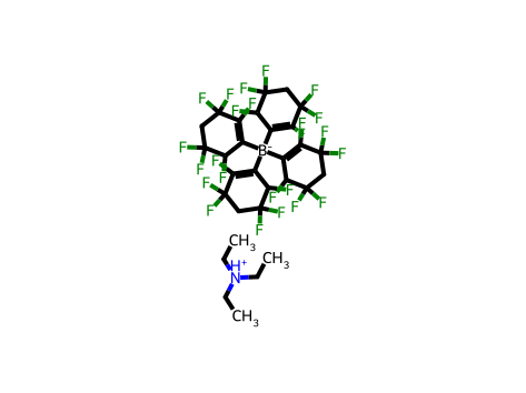 CC[NH+](CC)CC.FC1=C([B-](C2=C(F)C(F)(F)CC(F)(F)C2F)(C2=C(F)C(F)(F)CC(F)(F)C2F)C2=C(F)C(F)(F)CC(F)(F)C2F)C(F)C(F)(F)CC1(F)F